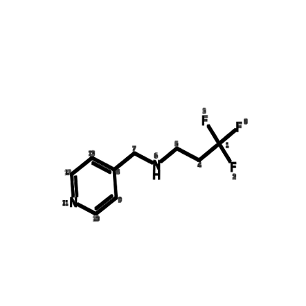 FC(F)(F)CCNCc1ccncc1